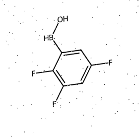 OBc1cc(F)cc(F)c1F